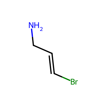 NCC=CBr